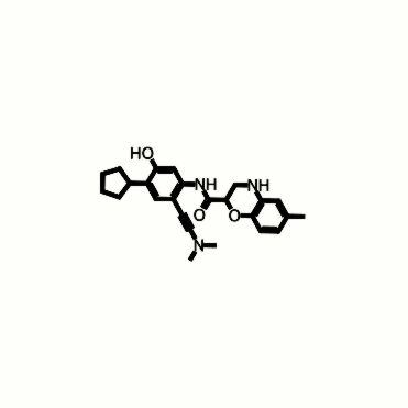 Cc1ccc2c(c1)NCC(C(=O)Nc1cc(O)c(C3CCCC3)cc1C#CN(C)C)O2